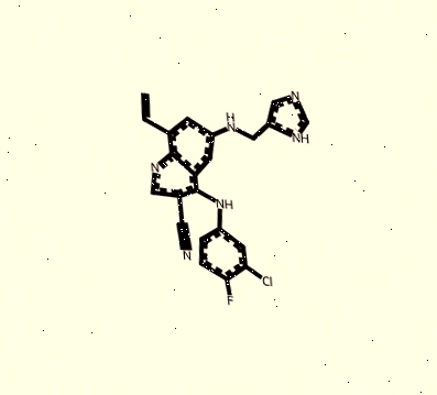 C=Cc1cc(NCc2cnc[nH]2)cc2c(Nc3ccc(F)c(Cl)c3)c(C#N)cnc12